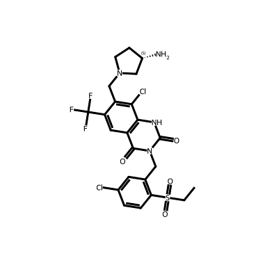 CCS(=O)(=O)c1ccc(Cl)cc1Cn1c(=O)[nH]c2c(Cl)c(CN3CC[C@H](N)C3)c(C(F)(F)F)cc2c1=O